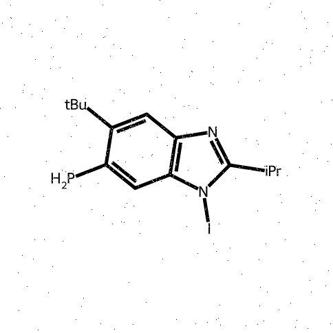 CC(C)c1nc2cc(C(C)(C)C)c(P)cc2n1I